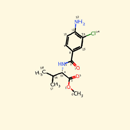 COC(=O)[C@@H](NC(=O)c1ccc(N)c(Cl)c1)C(C)C